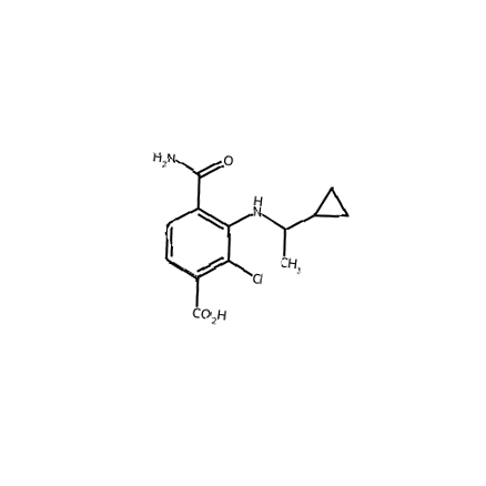 CC(Nc1c(C(N)=O)ccc(C(=O)O)c1Cl)C1CC1